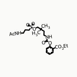 CCOC(=O)c1ccccc1OC(=O)NCCC(C)(C)COS(=O)(=O)CCCNC(C)=O